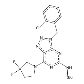 CC(C)(C)Nc1nc(N2CCC(F)(F)C2)c2nnn(Cc3ccccc3Cl)c2n1